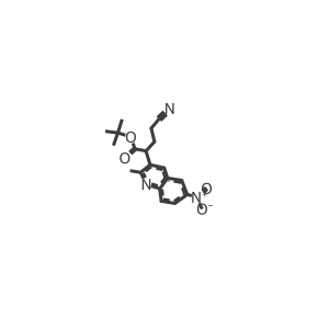 Cc1nc2ccc([N+](=O)[O-])cc2cc1C(CCC#N)C(=O)OC(C)(C)C